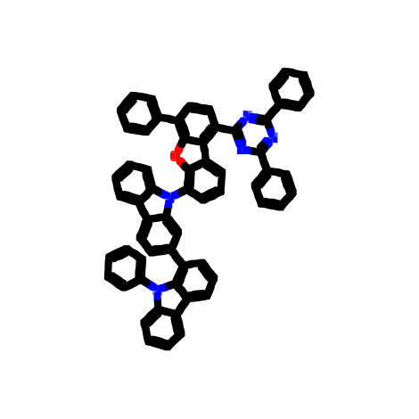 c1ccc(-c2nc(-c3ccccc3)nc(-c3ccc(-c4ccccc4)c4oc5c(-n6c7ccccc7c7ccc(-c8cccc9c%10ccccc%10n(-c%10ccccc%10)c89)cc76)cccc5c34)n2)cc1